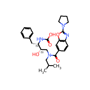 CC(C)CN(C[C@H](O)[C@H](Cc1ccccc1)NC(=O)O)C(=O)c1ccc2nc(N3CCCC3)oc2c1